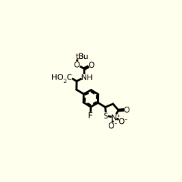 CC(C)(C)OC(=O)NC(Cc1ccc(C2CC(=O)[N+]([O-])([O-])S2)c(F)c1)C(=O)O